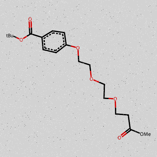 COC(=O)CCOCCOCCOc1ccc(C(=O)OC(C)(C)C)cc1